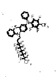 Fc1c(F)c(C(F)(F)F)c(F)c(F)c1N(c1ccccc1)c1ccc2c(c1)Sc1ccccc1N2CCC(F)(F)C(F)(F)C(F)(F)C(F)(F)C(F)(F)C(F)(F)F